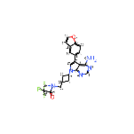 Nc1ncnc2c1c(-c1ccc3occc3c1)cn2C1CC(CNC(=O)C(F)(F)F)C1